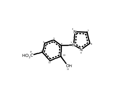 O=C(O)c1ccc(-n2nccn2)c(O)c1